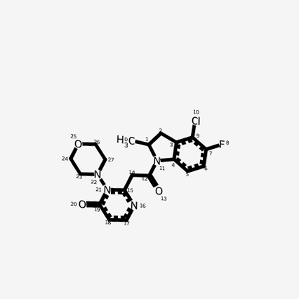 CC1Cc2c(ccc(F)c2Cl)N1C(=O)Cc1nccc(=O)n1N1CCOCC1